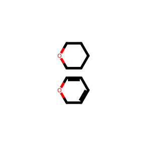 C1=CCOC=C1.C1CCOCC1